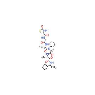 CCCC(NC(=O)[C@@H]1CC2CCCCC2N1C(=O)[C@@H](NC(=O)CNC(=O)C1CSC(=O)N1)C(C)(C)C)C(=O)C(=O)N[C@@H](C)c1ccccc1